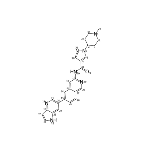 CN1CCC(n2cc(C(=O)Nc3cc4cc(-c5cnc6cc[nH]c6c5)ccc4cn3)cn2)CC1